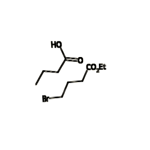 CCCC(=O)O.CCOC(=O)CCCBr